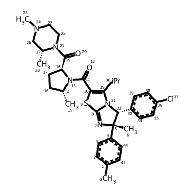 Cc1ccc([C@]2(C)N=C3SC(C(=O)N4[C@H](C)CC[C@H]4C(=O)N4CCN(C)C[C@H]4C)=C(C(C)C)N3[C@@H]2c2ccc(Cl)cc2)cc1